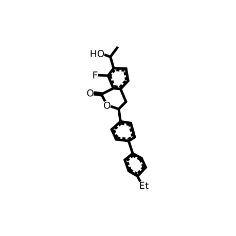 CCc1ccc(-c2ccc(C3Cc4ccc(C(C)O)c(F)c4C(=O)O3)cc2)cc1